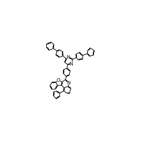 c1ccc(-c2ccc(-c3cc(-c4ccc(-c5nc6cccc(-c7ccccc7)c6c6c5oc5ccccc56)cc4)nc(-c4ccc(-c5ccccc5)cc4)n3)cc2)cc1